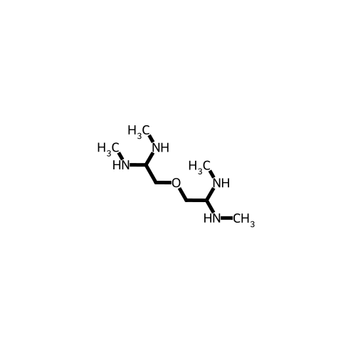 CNC(COCC(NC)NC)NC